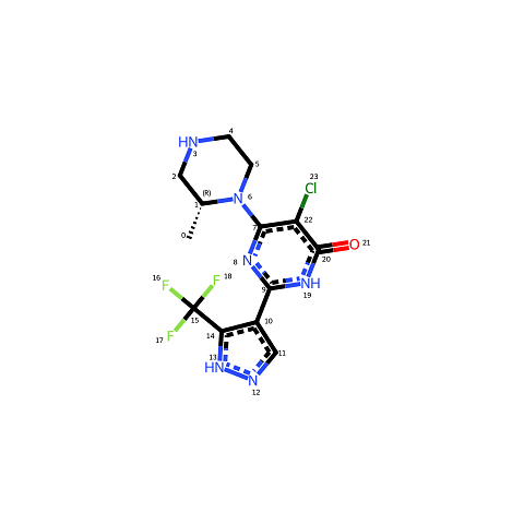 C[C@@H]1CNCCN1c1nc(-c2cn[nH]c2C(F)(F)F)[nH]c(=O)c1Cl